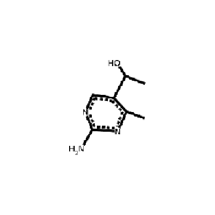 Cc1nc(N)ncc1C(C)O